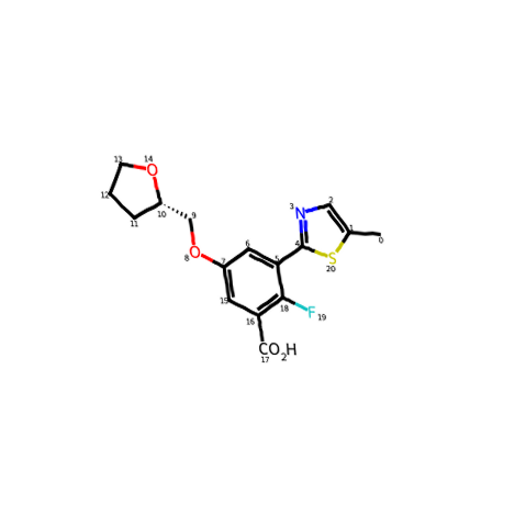 Cc1cnc(-c2cc(OC[C@@H]3CCCO3)cc(C(=O)O)c2F)s1